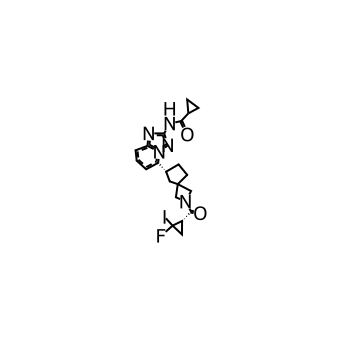 O=C(Nc1nc2cccc([C@@H]3CCC4(C3)CN(C(=O)[C@@H]3CC3(F)I)C4)n2n1)C1CC1